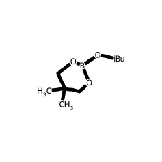 CCC(C)OB1OCC(C)(C)CO1